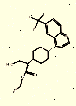 CCOC(=O)C(CC)[C@H]1CC[C@H](c2ccnc3ccc(C(F)(F)F)cc32)CC1